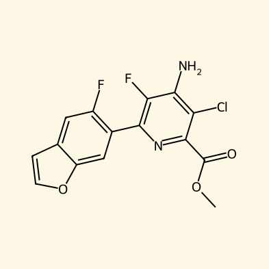 COC(=O)c1nc(-c2cc3occc3cc2F)c(F)c(N)c1Cl